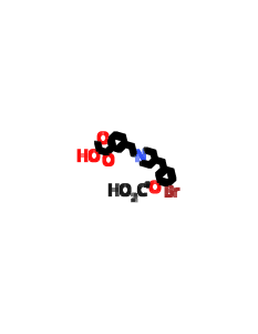 O=C(O)COc1cc(CC2CCN(CCc3ccc4c(c3)C(=O)C(O)CO4)CC2)ccc1Br